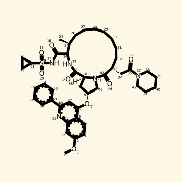 COc1ccc2c(O[C@@H]3C[C@H]4C(=O)NC(C(=O)NS(=O)(=O)C5CC5)[C@@H](C)CCCCCCC[C@H](CC(=O)N5CCCCC5)C(=O)N4C3)cc(-c3ccccc3)nc2c1